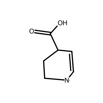 O=C(O)C1C=C[N]CC1